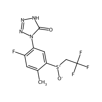 Cc1cc(F)c(-n2nn[nH]c2=O)cc1[S+]([O-])CC(F)(F)F